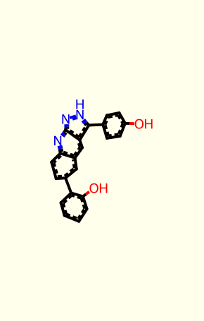 Oc1ccc(-c2[nH]nc3nc4ccc(-c5ccccc5O)cc4cc23)cc1